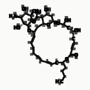 CCCCC1C/C=C/C=C/C=C/C=C/C(O[C@@H]2O[C@H](C)[C@@H](O)[C@H](N)[C@H]2O)CC2OC(O)(CC(O)CC(O)C/C=C/C(=O)O1)CC(O)C2C(=O)O